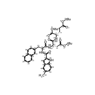 COC(=O)[C@H](CCC(=O)OC(C)(C)C)NC(=O)[C@H](CC(=O)OC(C)(C)C)NC(=O)[C@H](Cc1ccc2ccccc2c1)NC(=O)c1cc2cc(C)ccc2[nH]1